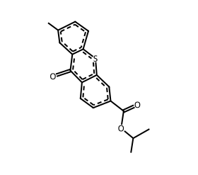 Cc1ccc2sc3cc(C(=O)OC(C)C)ccc3c(=O)c2c1